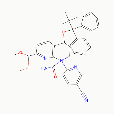 COC(OC)c1ccc2c(n1)[N+](C(N)=O)(c1ccc(C#N)cn1)CCC2O[Si](c1ccccc1)(c1ccccc1)C(C)(C)C